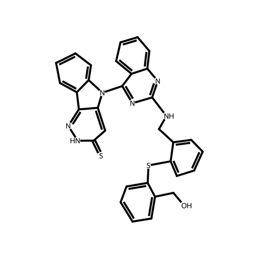 OCc1ccccc1Sc1ccccc1CNc1nc(-n2c3ccccc3c3n[nH]c(=S)cc32)c2ccccc2n1